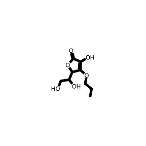 CCCOC1=C(O)C(=O)OC1C(O)CO